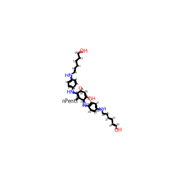 CCCCCC1=C(Nc2ccc(NCCCCCCO)cc2)C(=O)C=C(O)/C1=N\c1ccc(NCCCCCCO)cc1